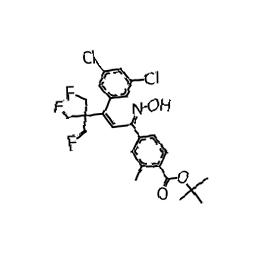 Cc1cc(C(/C=C(\c2cc(Cl)cc(Cl)c2)C(CF)(CF)CF)=N\O)ccc1C(=O)OC(C)(C)C